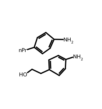 CCCc1ccc(N)cc1.Nc1ccc(CCO)cc1